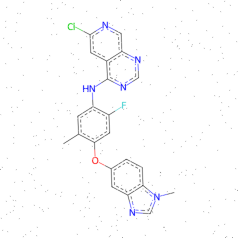 Cc1cc(Nc2ncnc3cnc(Cl)cc23)c(F)cc1Oc1ccc2c(c1)ncn2C